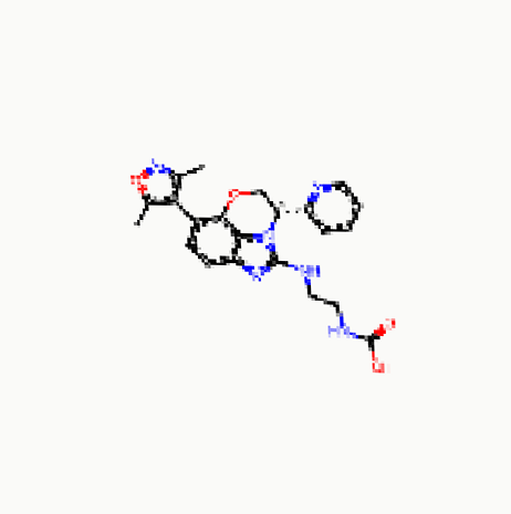 Cc1noc(C)c1-c1ccc2nc(NCCNC(=O)O)n3c2c1OC[C@@H]3c1ccccn1